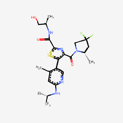 CC[C@H](Nc1cc(C)c(-c2sc(C(=O)N[C@H](C)CO)nc2C(=O)N2CC(F)(F)C[C@@H]2C)cn1)C(F)(F)F